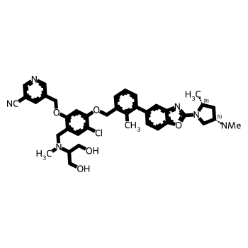 CN[C@H]1C[C@@H](C)N(c2nc3cc(-c4cccc(COc5cc(OCc6cncc(C#N)c6)c(CN(C)C(CO)CO)cc5Cl)c4C)ccc3o2)C1